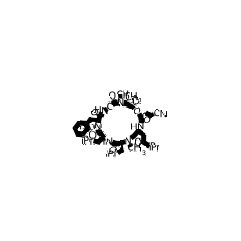 CC(C)CCC1NC(=O)[C@@H](CCC#N)OC(=O)C(C)N(C)C(=O)CNC(=O)C(CC2CCCCC2)N(C)C(=O)C(CC(C)C)NC(=O)[C@H](CC(C)C)N(C)C1=O